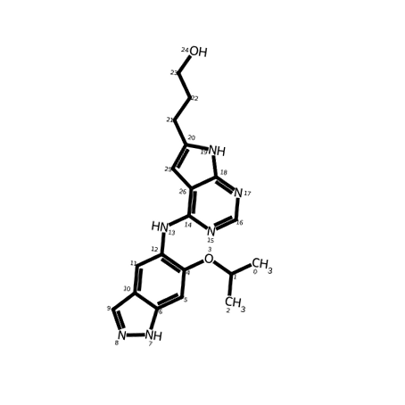 CC(C)Oc1cc2[nH]ncc2cc1Nc1ncnc2[nH]c(CCCO)cc12